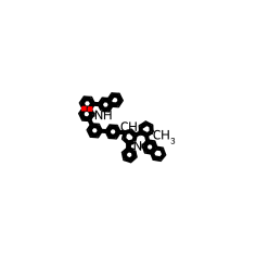 CC1CC=CC2=C1c1cc3c(cc1-n1c4c(c5ccccc51)CC(C)(c1ccc(-c5cccc(-c6ccccc6Nc6cc7ccccc7cc6-c6ccccc6)c5)cc1)C=C24)C=CCC3